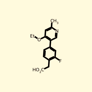 CCOc1cc(C)ncc1-c1ccc(CC(=O)O)c(F)c1